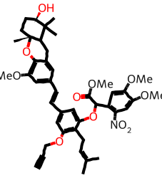 C#CCOc1cc(/C=C/c2cc3c(c(OC)c2)O[C@]2(C)CC[C@@H](O)C(C)(C)C2C3)cc(OC(C(=O)OC)c2cc(OC)c(OC)cc2[N+](=O)[O-])c1CC=C(C)C